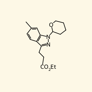 CCOC(=O)CCc1nn(C2CCCCO2)c2cc(C)ccc12